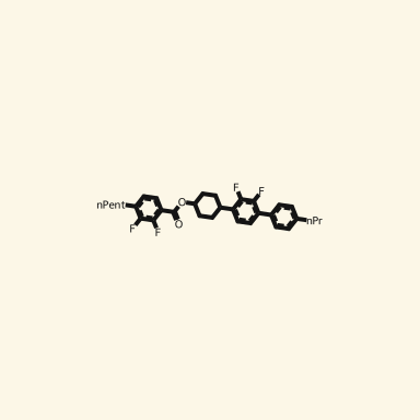 CCCCCc1ccc(C(=O)OC2CCC(c3ccc(-c4ccc(CCC)cc4)c(F)c3F)CC2)c(F)c1F